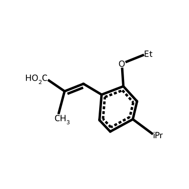 CCOc1cc(C(C)C)ccc1/C=C(\C)C(=O)O